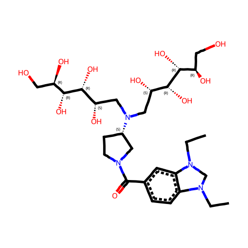 CCN1CN(CC)c2cc(C(=O)N3CC[C@H](N(C[C@H](O)[C@@H](O)[C@H](O)[C@H](O)CO)C[C@H](O)[C@@H](O)[C@H](O)[C@H](O)CO)C3)ccc21